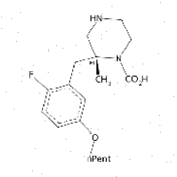 CCCCCOc1ccc(F)c(C[C@]2(C)CNCCN2C(=O)O)c1